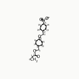 C=CC(=O)OCc1ccc(OCc2ccc([N+](=O)[O-])cc2)cc1